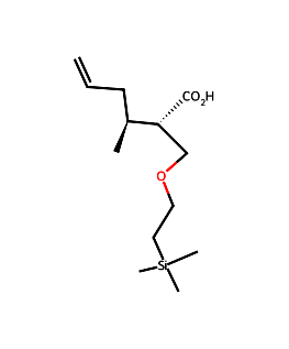 C=CC[C@H](C)[C@@H](COCC[Si](C)(C)C)C(=O)O